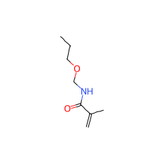 C=C(C)C(=O)NCOCCC